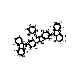 c1ccc(-n2c3cc(-n4c5ccccc5c5ccccc54)ccc3c3sc4cc(-n5c6ccccc6c6ccccc65)ccc4c32)cc1